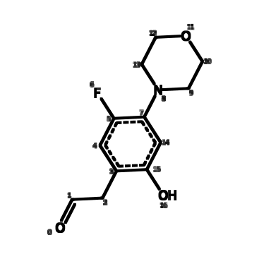 O=CCc1cc(F)c(N2CCOCC2)cc1O